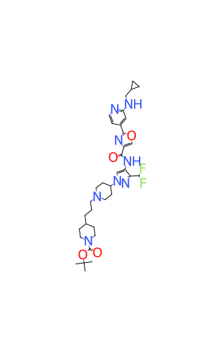 CC(C)(C)OC(=O)N1CCC(CCCN2CCC(n3cc(NC(=O)c4coc(-c5ccnc(NCC6CC6)c5)n4)c(C(F)F)n3)CC2)CC1